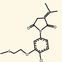 CSCCOc1cc(N2C(=O)CC(=C(C)C)C2=O)ccc1Cl